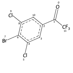 O=C(c1cc(Cl)c(Br)c(Cl)c1)C(F)(F)F